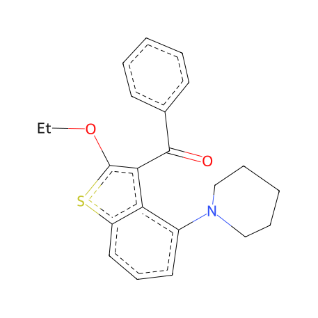 CCOc1sc2cccc(N3CCCCC3)c2c1C(=O)c1ccccc1